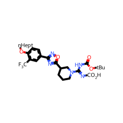 CCCCCCCOc1ccc(-c2noc(C3CCCN(C(=NC(=O)O)NC(=O)OC(C)(C)C)C3)n2)cc1C(F)(F)F